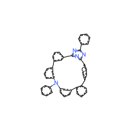 c1ccc(-c2nc3nc(n2)-c2cccc(c2)-c2cccc(c2)N(c2ccccc2)c2cccc(c2)-c2ccccc2-c2ccc-3cc2)cc1